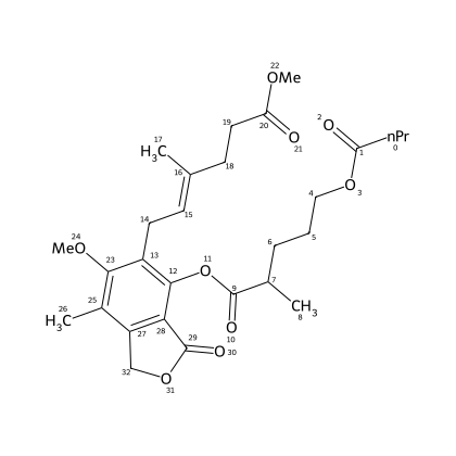 CCCC(=O)OCCCC(C)C(=O)Oc1c(C/C=C(\C)CCC(=O)OC)c(OC)c(C)c2c1C(=O)OC2